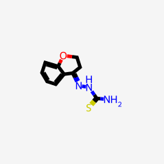 NC(=S)N/N=C1\CCOc2ccccc21